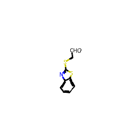 O=CCSc1nc2ccccc2s1